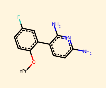 CCCOc1ccc(F)cc1-c1ccc(N)nc1N